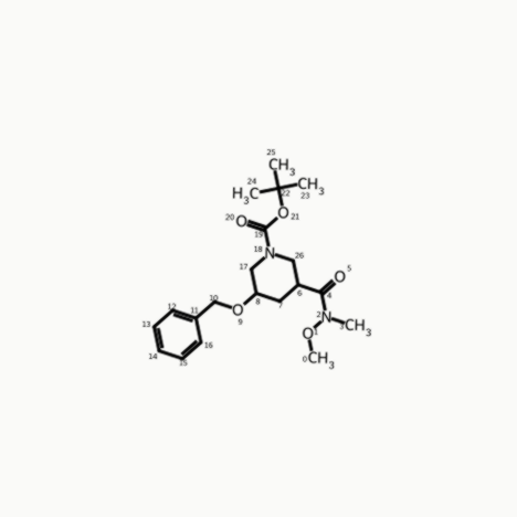 CON(C)C(=O)C1CC(OCc2ccccc2)CN(C(=O)OC(C)(C)C)C1